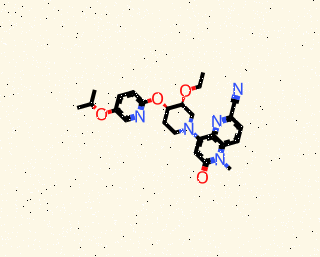 CCO[C@H]1CN(c2cc(=O)n(C)c3ccc(C#N)nc23)CC[C@H]1Oc1ccc(OC(C)C)cn1